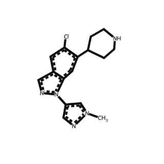 Cn1cc(-n2ncc3cc(Cl)c(C4CCNCC4)cc32)cn1